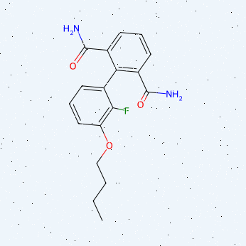 CCCCOc1cccc(-c2c(C(N)=O)cccc2C(N)=O)c1F